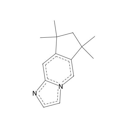 CC1(C)CC(C)(C)c2cn3ccnc3cc21